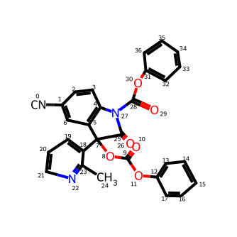 [C-]#[N+]c1ccc2c(c1)C(OC(=O)Oc1ccccc1)(c1cccnc1C)C(=O)N2C(=O)Oc1ccccc1